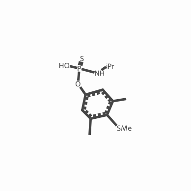 CSc1c(C)cc(OP(O)(=S)NC(C)C)cc1C